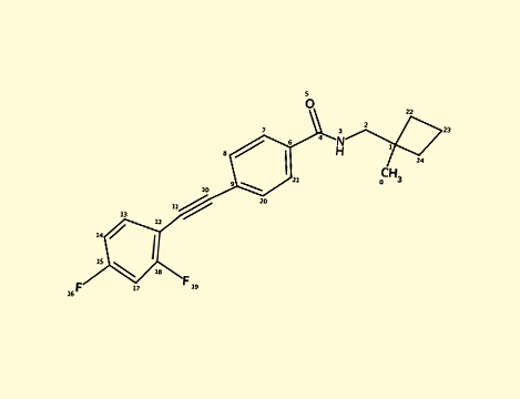 CC1(CNC(=O)c2ccc(C#Cc3ccc(F)cc3F)cc2)CCC1